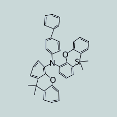 CC1(C)c2ccccc2Oc2c(N(c3ccc(-c4ccccc4)cc3)c3cccc4c3Oc3ccccc3[Si]4(C)C)cccc21